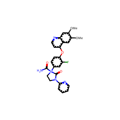 COc1cc2nccc(Oc3ccc([N+]4(C(N)=O)CCN(c5ccccn5)C4=O)cc3F)c2cc1OC